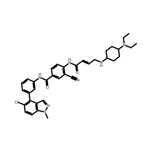 CCN(CC)C1CCC(NC/C=C/C(=O)Nc2ccc(C(=O)Nc3cccc(-c4c(Cl)ccc5c4cnn5C)c3)cc2C#N)CC1